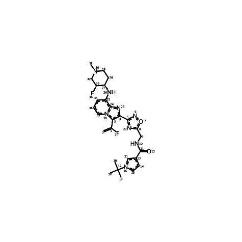 C=C(F)c1c(-c2noc(CNC(=O)c3ccn(C(C)(C)C)c3)n2)nc2c(N[C@@H]3CCN(C)C[C@@H]3F)cccn12